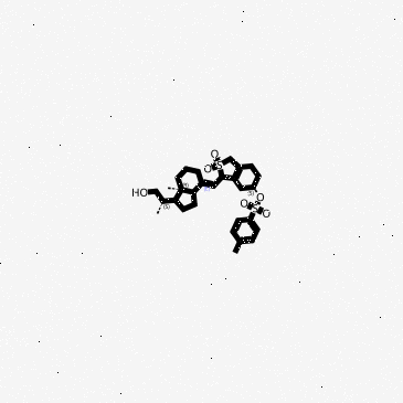 Cc1ccc(S(=O)(=O)O[C@H]2CCC3=C(C2)C(/C=C2\CCC[C@@]4(C)C2CCC4[C@H](C)CO)S(=O)(=O)C3)cc1